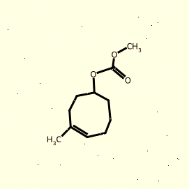 COC(=O)OC1CCC/C=C(/C)CC1